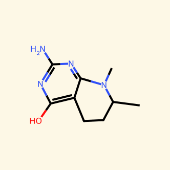 CC1CCc2c(O)nc(N)nc2N1C